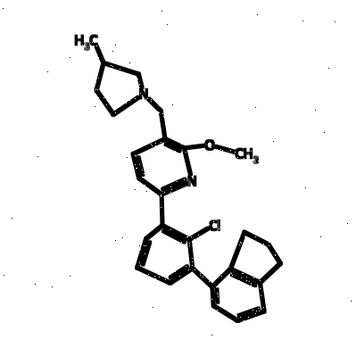 COc1nc(-c2cccc(-c3cccc4c3CCC4)c2Cl)ccc1CN1CCC(C)C1